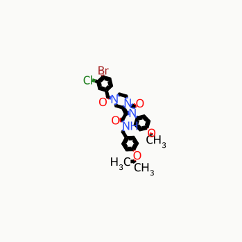 COc1ccc(-n2c(C(=O)NCc3ccc(OC(C)C)cc3)c3n(c2=O)CCN(C(=O)c2ccc(Br)c(Cl)c2)C3)cc1